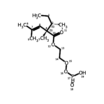 CC[C@H](C)[C@@](C)(C=C(C)C)C(=O)OCCOO[PH](=O)O